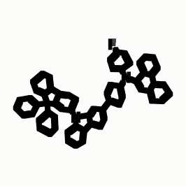 Fc1ccc(N(c2ccc(-c3ccc4c5ccccc5n(-c5ccc6c(c5)C(c5ccccc5)(c5ccccc5)c5ccccc5-6)c4c3)cc2)c2cc3ccccc3c3ccccc23)cc1